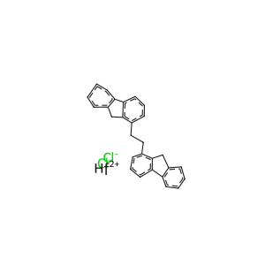 [Cl-].[Cl-].[Hf+2].c1ccc2c(c1)Cc1c(CCc3cccc4c3Cc3ccccc3-4)cccc1-2